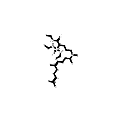 CCOC(=O)C(CCCN(C)C(C)CCC=C(C)CCC=C(C)C)P(=O)(OCC)OCC